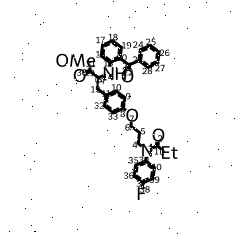 CCC(=O)N(CCCOc1ccc(C[C@H](Nc2ccccc2C(=O)c2ccccc2)C(=O)OC)cc1)c1ccc(F)cc1